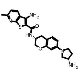 Cc1ccc2c(N)c(C(=O)N[C@H]3COc4cc(N5CC[C@H](N)C5)ccc4C3)sc2n1